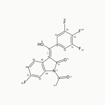 CC(=O)N1C(=O)/C(=C(/O)c2cc(F)c(F)c(F)c2)c2ccc(F)cc21